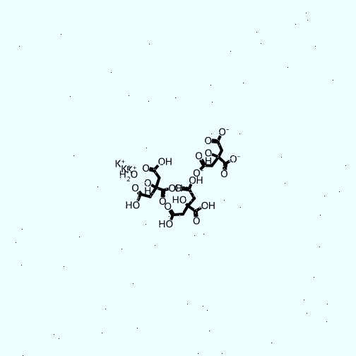 O.O=C(O)CC(O)(CC(=O)O)C(=O)O.O=C(O)CC(O)(CC(=O)O)C(=O)O.O=C([O-])CC(O)(CC(=O)[O-])C(=O)[O-].[K+].[K+].[K+]